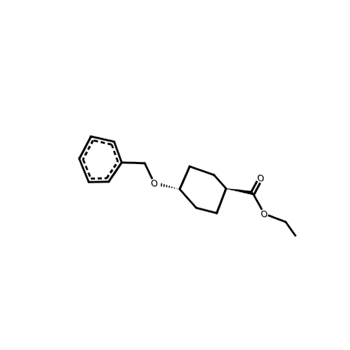 CCOC(=O)[C@H]1CC[C@H](OCc2ccccc2)CC1